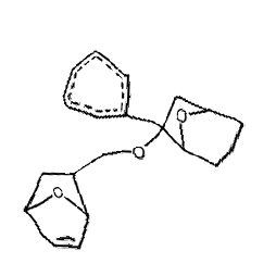 C1=CC2OC1CC2COC1(c2ccccc2)CC2CCC1O2